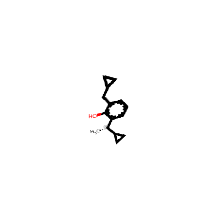 C[C@H](c1cccc(CC2CC2)c1O)C1CC1